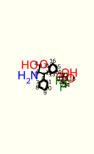 N[C@H](C(=O)O)C(c1ccccc1)c1ccccc1.O=S(=O)(O)C(F)(F)F